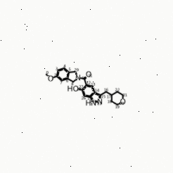 COc1ccc2c(c1)CN(C(=O)c1cc3c(CC4CCOCC4)n[nH]c3cc1O)C2